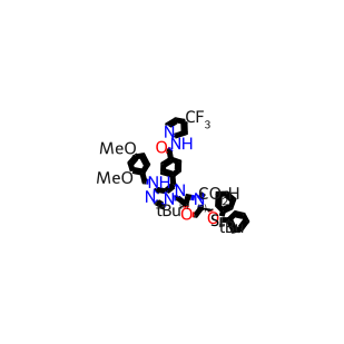 COc1ccc(CNc2nccn3c([C@@]4(C(C)(C)C)CN(C(=O)O)[C@@H](CO[Si](c5ccccc5)(c5ccccc5)C(C)(C)C)CO4)nc(-c4ccc(C(=O)Nc5cc(C(F)(F)F)ccn5)cc4)c23)c(OC)c1